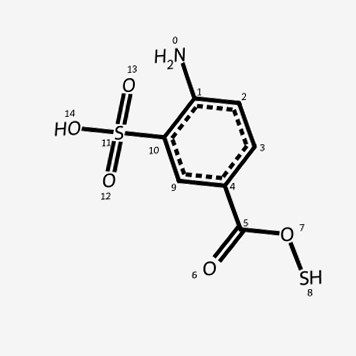 Nc1ccc(C(=O)OS)cc1S(=O)(=O)O